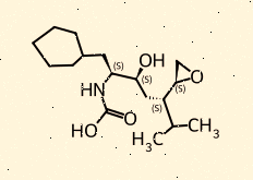 CC(C)[C@H](C[C@H](O)[C@H](CC1CCCCC1)NC(=O)O)[C@H]1CO1